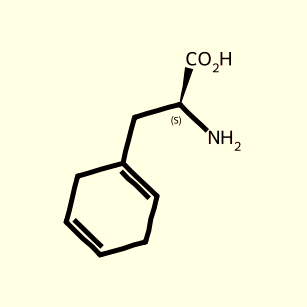 N[C@@H](CC1=CCC=CC1)C(=O)O